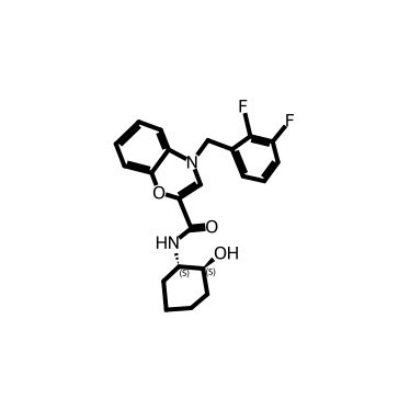 O=C(N[C@H]1CCCC[C@@H]1O)C1=CN(Cc2cccc(F)c2F)c2ccccc2O1